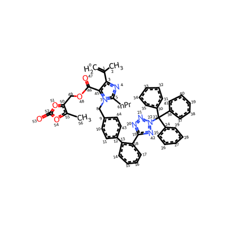 C=C(C)c1nc(CCC)n(Cc2ccc(-c3ccccc3-c3nnn(C(c4ccccc4)(c4ccccc4)c4ccccc4)n3)cc2)c1C(=O)OCc1oc(=O)oc1C